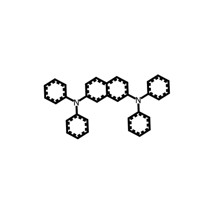 c1ccc(N(c2ccccc2)c2ccc3ccc(N(c4ccccc4)c4ccccc4)cc3c2)cc1